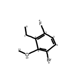 CCc1c(F)ccc(Br)c1OC